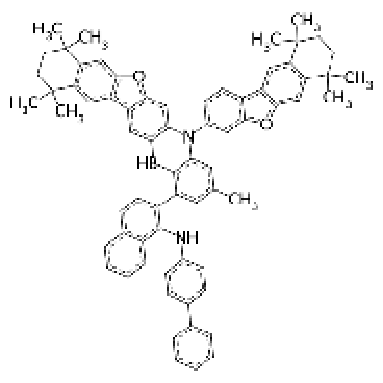 Cc1cc(-c2ccc3ccccc3c2Nc2ccc(-c3ccccc3)cc2)c2c(c1)N(c1ccc3c(c1)oc1cc4c(cc13)C(C)(C)CCC4(C)C)c1cc3oc4cc5c(cc4c3cc1B2)C(C)(C)CCC5(C)C